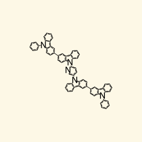 c1ccc(-n2c3ccccc3c3cc(-c4ccc5c(c4)c4ccccc4n5-c4ccc(-n5c6ccccc6c6cc(-c7ccc8c(c7)c7ccccc7n8-c7ccccc7)ccc65)nc4)ccc32)cc1